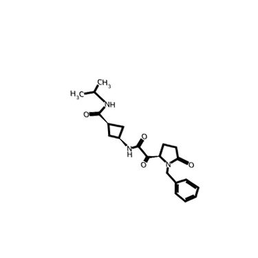 CC(C)NC(=O)[C@H]1C[C@@H](NC(=O)C(=O)[C@H]2CCC(=O)N2Cc2ccccc2)C1